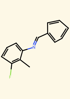 Cc1c(F)cccc1/N=C/c1ccccc1